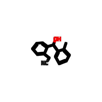 Cc1ccccc1C(O)c1ccccc1CC#N